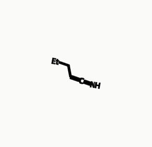 CCCC=C=N